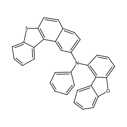 c1ccc(N(c2ccc3ccc4sc5ccccc5c4c3c2)c2cccc3oc4ccccc4c23)cc1